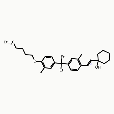 CCOC(=O)CCCCOc1ccc(C(CC)(CC)c2ccc(/C=C/C3(O)CCCCC3)c(C)c2)cc1C